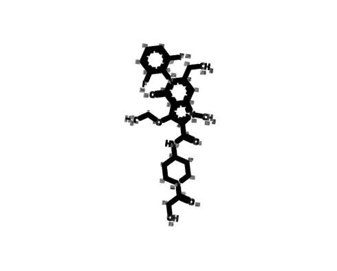 CCOc1c(C(=O)NC2CCN(C(=O)CO)CC2)n(C)c2cc(CC)n(-c3c(F)cccc3F)c(=O)c12